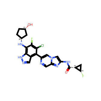 O=C(Nc1cn2cc(-c3c(Cl)c(F)c(N[C@@H]4CC[C@H](O)C4)c4[nH]ncc34)ncc2n1)[C@@H]1C[C@@H]1F